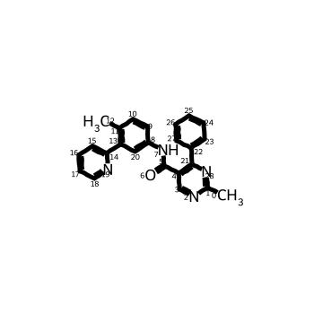 Cc1ncc(C(=O)Nc2ccc(C)c(-c3ccccn3)c2)c(-c2ccccc2)n1